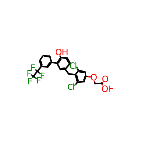 O=C(O)COc1cc(Cl)c(Cc2ccc(O)c(-c3cccc(C(F)(F)C(F)(F)F)c3)c2)c(Cl)c1